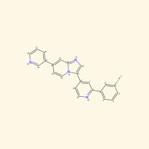 Fc1cccc(-c2cc(-c3cnc4cc(-c5cccnc5)ccn34)ccn2)c1